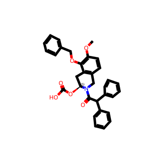 COc1ccc2c(c1OCc1ccccc1)C[C@H](OC(=O)O)N(C(=O)C(c1ccccc1)c1ccccc1)C2